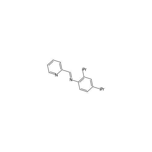 CC(C)c1ccc(N=Cc2ccccn2)c(C(C)C)c1